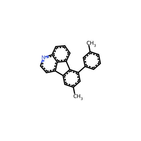 Cc1cccc(-c2cc(C)cc3c2-c2cccc4nccc-3c24)c1